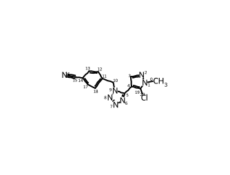 Cn1ncc(-c2nnnn2Cc2ccc(C#N)cc2)c1Cl